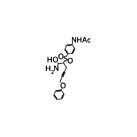 CC(=O)Nc1ccc(S(=O)(=O)C(CC#CCOc2ccccc2)C(N)O)cc1